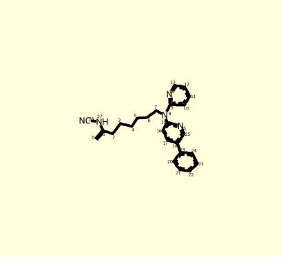 C=C(CCCCCCN(c1ccccn1)c1ccc(-c2ccccc2)cn1)NC#N